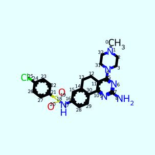 CN1CCN(c2nc(N)nc3c2CCc2cc(NS(=O)(=O)c4ccc(Cl)cc4)ccc2-3)CC1